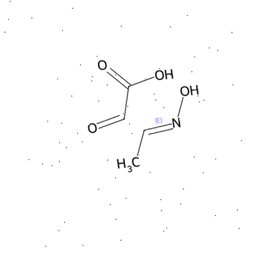 C/C=N/O.O=CC(=O)O